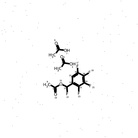 CC(=O)O.CC(=O)O.CC(=O)OC(F)c1cc(F)c(F)c(F)c1F